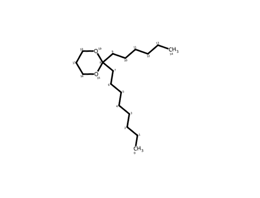 CCCCCCCCC1(CCCCCC)OCCCO1